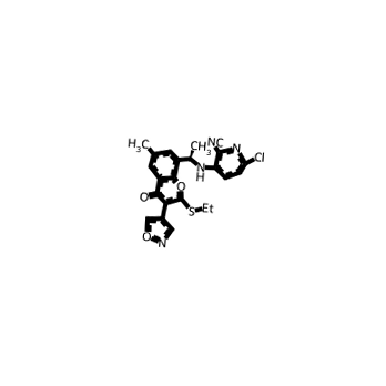 CCSc1oc2c([C@@H](C)Nc3ccc(Cl)nc3C#N)cc(C)cc2c(=O)c1-c1cnoc1